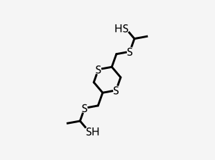 CC(S)SCC1CSC(CSC(C)S)CS1